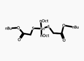 CCCCCCC[CH2][Sn]([CH2]CCCCCCC)([S]CC(=O)OCCCC)[S]CC(=O)OCCCC